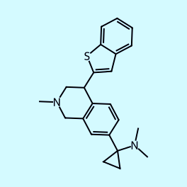 CN1Cc2cc(C3(N(C)C)CC3)ccc2C(c2cc3ccccc3s2)C1